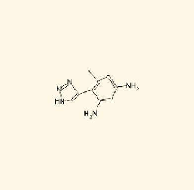 Cc1cc(N)cc(N)c1-c1c[nH]nn1